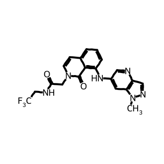 Cn1ncc2ncc(Nc3cccc4ccn(CC(=O)NCC(F)(F)F)c(=O)c34)cc21